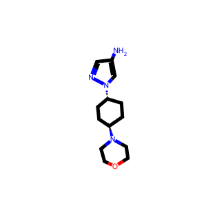 Nc1cnn([C@H]2CC[C@H](N3CCOCC3)CC2)c1